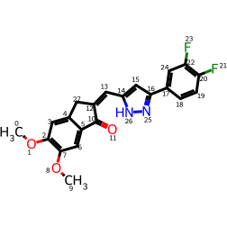 COc1cc2c(cc1OC)C(=O)C(=Cc1cc(-c3ccc(F)c(F)c3)n[nH]1)C2